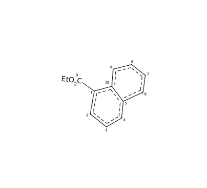 CCOC(=O)c1cccc2[c]cccc12